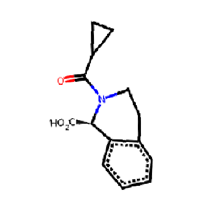 O=C(O)[C@@H]1c2ccccc2CCN1C(=O)C1CC1